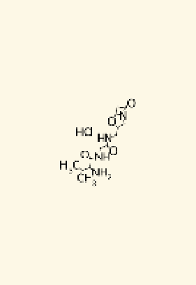 CC(C)C(N)C(=O)NCC(=O)NCC1CN2C(=O)CC2O1.Cl